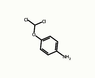 Nc1ccc(OC(Cl)Cl)cc1